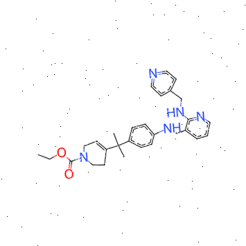 CCOC(=O)N1CC=C(C(C)(C)c2ccc(NCc3cccnc3NCc3ccncc3)cc2)CC1